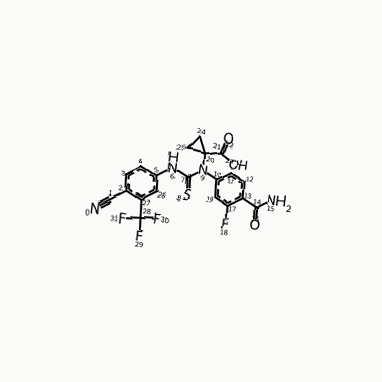 N#Cc1ccc(NC(=S)N(c2ccc(C(N)=O)c(F)c2)C2(C(=O)O)CC2)cc1C(F)(F)F